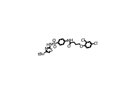 CC(C)(C)c1csc(NS(=O)(=O)c2ccc(NC(=O)CCCOc3ccc(Cl)cc3Cl)cc2)n1